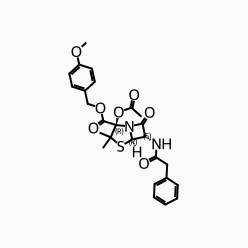 COc1ccc(COC(=O)[C@]2(OC(C)=O)N3C(=O)[C@H](NC(=O)Cc4ccccc4)[C@H]3SC2(C)C)cc1